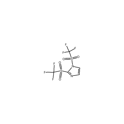 O=S(=O)(c1nccn1S(=O)(=O)C(F)(F)F)C(F)(F)F